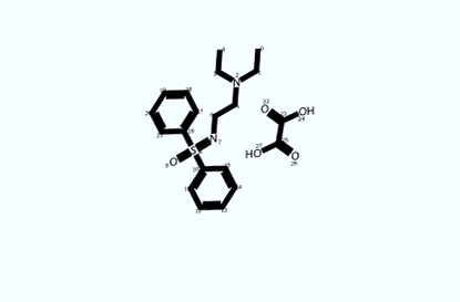 CCN(CC)CCN=S(=O)(c1ccccc1)c1ccccc1.O=C(O)C(=O)O